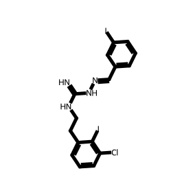 N=C(NCCc1cccc(Cl)c1I)N/N=C/c1cccc(I)c1